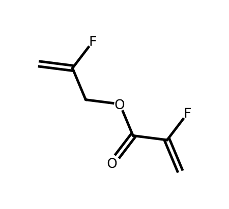 C=C(F)COC(=O)C(=C)F